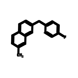 Cc1ccc2ccc(Cc3[c]cc(F)c[c]3)cc2c1